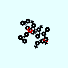 CC(C)(C)c1ccc(N2c3cc(N(c4ccc(-n5c6ccccc6c6ccccc65)cc4)c4ccc(-n5c6ccccc6c6ccccc65)cc4)ccc3B3c4ccc(-n5c6ccc(C(C)(C)C)cc6c6cc(C(C)(C)C)ccc65)cc4N(c4cc(-c5ccccc5)cc(-c5ccccc5)c4)c4cc(C(C)(C)C)cc2c43)c(-c2ccccc2)c1